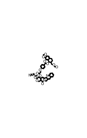 [N-]=[N+]=NCC[C@@]1(OC(=O)COc2ccc(C(=O)O[C@@H]3c4cc5c(cc4CCC3COC=O)OCO5)cc2)C(=O)OCc2c1cc1n(c2=O)Cc2cc3ccccc3nc2-1